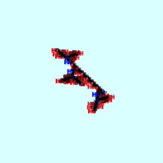 O=C(NCCN(C[C@H](O)[C@@H](O)[C@H](O)[C@H](O)CO)C[C@H](O)[C@@H](O)[C@H](O)[C@H](O)CO)OCC(COCC(O)COCC(O)COCC(O)COCC(O)COCC(CNI)OC(=O)NCCN(C[C@H](O)[C@@H](O)[C@H](O)[C@H](O)CO)C[C@H](O)[C@@H](O)[C@H](O)[C@H](O)CO)OC(=O)NCCN(C[C@H](O)[C@@H](O)[C@H](O)[C@H](O)CO)C[C@H](O)[C@@H](O)[C@H](O)[C@H](O)CO